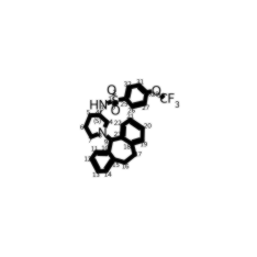 O=S(=O)(N[C@H]1CCCN(C2c3ccccc3CCc3ccccc32)C1)c1ccc(OC(F)(F)F)cc1